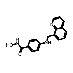 O=C(NO)c1ccc(NCc2cccc3cccnc23)cc1